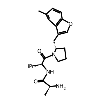 Cc1ccc2occ(C[C@@H]3CCCN3C(=O)[C@@H](NC(=O)[C@H](C)N)C(C)C)c2c1